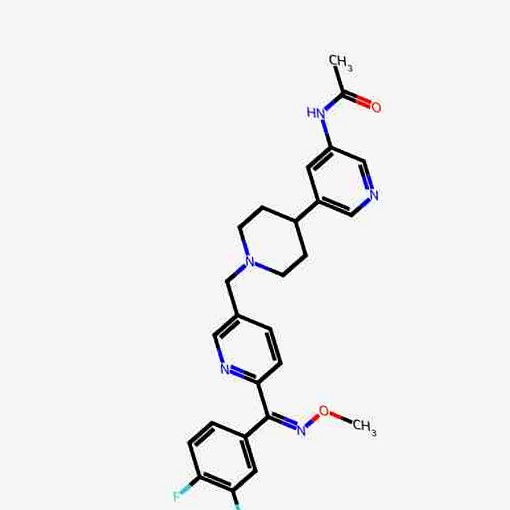 CO/N=C(/c1ccc(F)c(F)c1)c1ccc(CN2CCC(c3cncc(NC(C)=O)c3)CC2)cn1